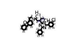 C/C=C\C(=C/C(C)n1ccc2c3oc4ccccc4c3ccc21)c1nc(-c2ccccc2)nc(-c2cccc(Cl)c2)n1